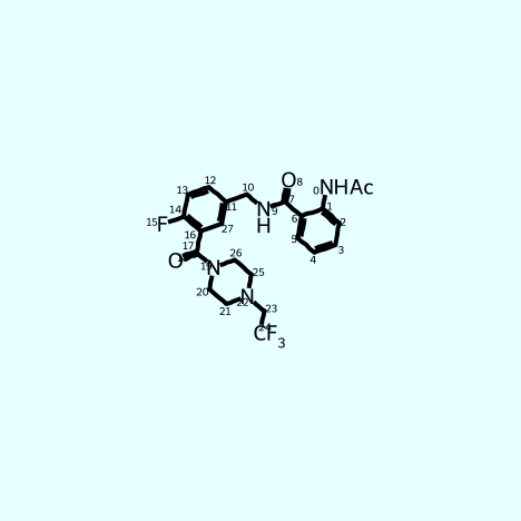 CC(=O)Nc1ccccc1C(=O)NCc1ccc(F)c(C(=O)N2CCN(CC(F)(F)F)CC2)c1